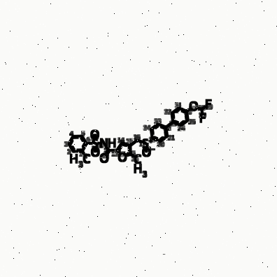 Cc1ccccc1S(=O)(=O)NC(=O)c1cc(C[S+]([O-])c2ccc(-c3ccc(OC(F)F)cc3)cc2)c(C)o1